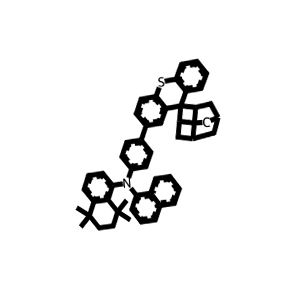 CC1(C)CCC(C)(C)c2c(N(c3ccc(-c4ccc5c(c4)C4(c6ccccc6S5)C5CC6CC7CC4C75C6)cc3)c3cccc4ccccc34)cccc21